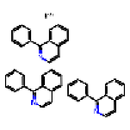 [Ir+3].c1ccc(-c2nccc3ccccc23)cc1.c1ccc(-c2nccc3ccccc23)cc1.c1ccc(-c2nccc3ccccc23)cc1